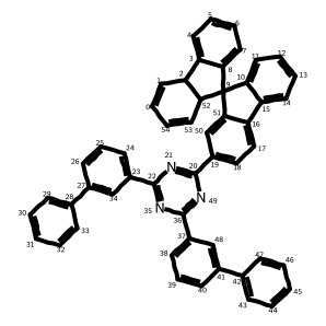 C1=CC2c3ccccc3C3(c4ccccc4-c4ccc(-c5nc(-c6cccc(-c7ccccc7)c6)nc(-c6cccc(-c7ccccc7)c6)n5)cc43)C2C=C1